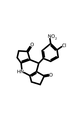 O=C1CCC2=C1C(c1ccc(Cl)c([N+](=O)[O-])c1)C1=C(CCC1=O)N2